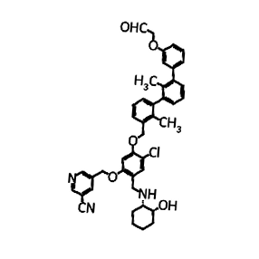 Cc1c(COc2cc(OCc3cncc(C#N)c3)c(CN[C@H]3CCCC[C@@H]3O)cc2Cl)cccc1-c1cccc(-c2cccc(OCC=O)c2)c1C